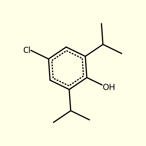 CC(C)c1cc(Cl)cc(C(C)C)c1O